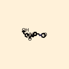 CC(C)(O)CC1CCN(C(=O)c2cc3cc(C/C=C4/CCCOCC4)ccc3[nH]2)CC1